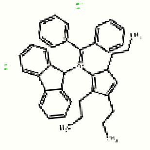 CCCC1=CC(CCC)[C]([Zr+2](=[C](c2ccccc2)c2ccccc2)[CH]2c3ccccc3-c3ccccc32)=C1CCC.[Cl-].[Cl-]